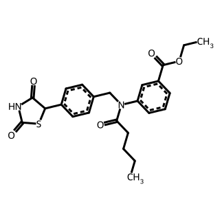 CCCCC(=O)N(Cc1ccc(C2SC(=O)NC2=O)cc1)c1cccc(C(=O)OCC)c1